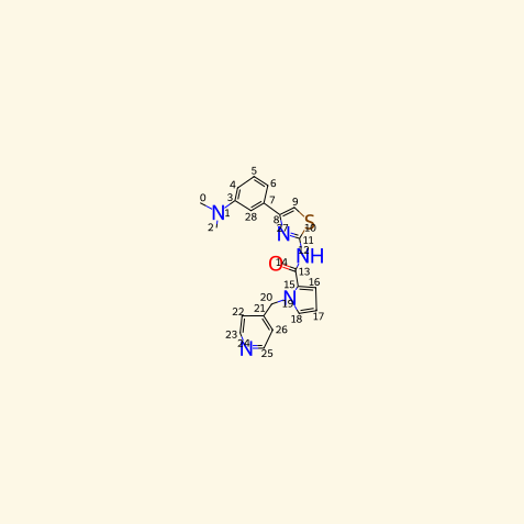 CN(C)c1cccc(-c2csc(NC(=O)c3cccn3Cc3ccncc3)n2)c1